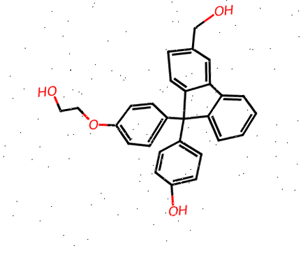 OCCOc1ccc(C2(c3ccc(O)cc3)c3ccccc3-c3cc(CO)ccc32)cc1